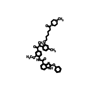 COc1cc(C(=O)N(C)c2ccc(C)cc2OCCCCCC(=O)N2CCN(C)CC2)ccc1NC(=O)c1cccc2[nH]c(Oc3ccccc3)nc12